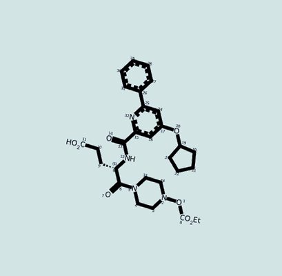 CCOC(=O)ON1CCN(C(=O)[C@H](CCC(=O)O)NC(=O)c2cc(OC3CCCC3)cc(-c3ccccc3)n2)CC1